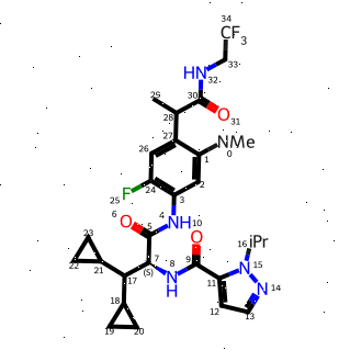 CNc1cc(NC(=O)[C@@H](NC(=O)c2ccnn2C(C)C)C(C2CC2)C2CC2)c(F)cc1C(C)C(=O)NCC(F)(F)F